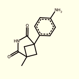 CC12CC(c3ccc(N)cc3)(C1)C(=O)NC2=O